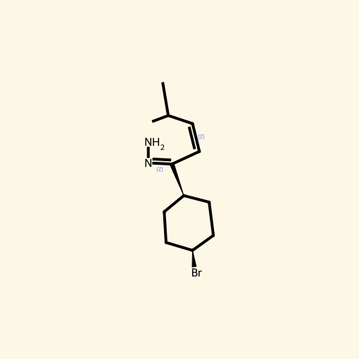 CC(C)/C=C\C(=N/N)[C@H]1CC[C@@H](Br)CC1